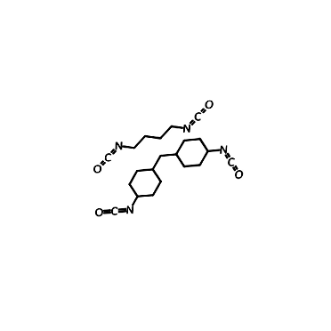 O=C=NC1CCC(CC2CCC(N=C=O)CC2)CC1.O=C=NCCCCN=C=O